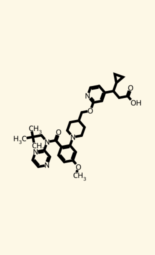 COc1ccc(C(=O)N(CC(C)(C)C)c2cnccn2)c(N2CCC(COc3cc(C(CC(=O)O)C4CC4)ccn3)CC2)c1